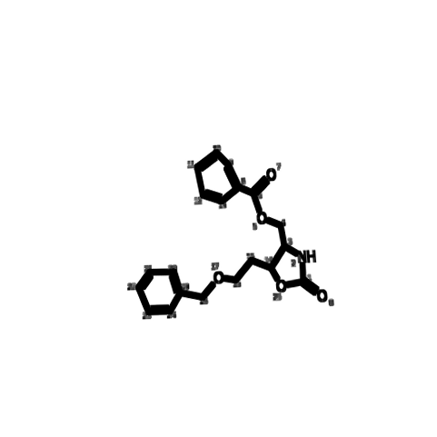 O=C1NC(COC(=O)c2ccccc2)C(CCOCc2ccccc2)O1